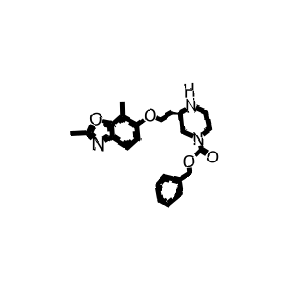 Cc1nc2ccc(OCC[C@@H]3CN(C(=O)OCc4ccccc4)CCN3)c(C)c2o1